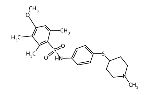 COc1cc(C)c(S(=O)(=O)Nc2ccc(SC3CCN(C)CC3)cc2)c(C)c1C